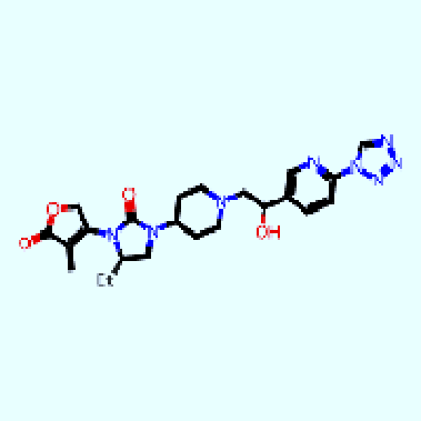 CCC1CN(C2CCN(C[C@H](O)c3ccc(-n4cnnn4)nc3)CC2)C(=O)N1C1=C(C)C(=O)OC1